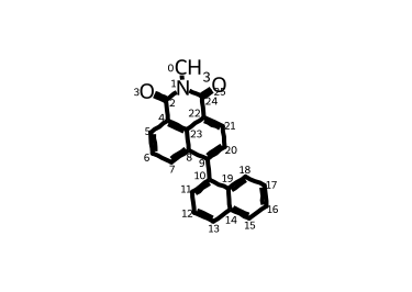 CN1C(=O)c2cccc3c(-c4cccc5ccccc45)ccc(c23)C1=O